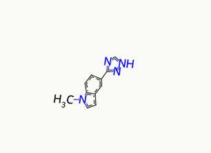 Cn1ccc2cc(-c3nc[nH]n3)ccc21